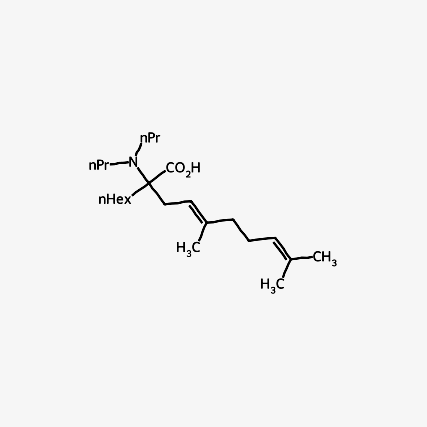 CCCCCCC(C/C=C(\C)CCC=C(C)C)(C(=O)O)N(CCC)CCC